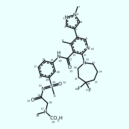 Cc1c(-c2cnn(C)c2)cnc(N2CCCC(F)(F)CC2)c1C(=O)Nc1cccc(S(C)(=O)=NC(=O)CN(C)C(=O)O)c1